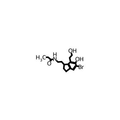 CCC(=O)NCCC1CCc2cc(Br)c(O)c(CCO)c21